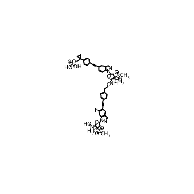 C[C@@](CCN1N=CC2=CC(C#Cc3ccc(CCONC(=O)[C@@](C)(CCn4ncc5cc(C#Cc6ccc(C7(COP(=O)(O)O)CC7)cc6)ccc54)S(C)(=O)=O)cc3)=C(F)CC21)(C(=O)NO)S(C)(=O)=O